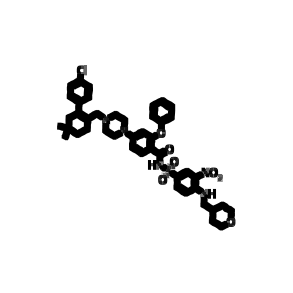 CC1(C)CCC(CN2CCN(c3ccc(C(=O)NS(=O)(=O)c4ccc(NCC5CCOCC5)c([N+](=O)[O-])c4)c(Oc4ccccc4)c3)CC2)=C(c2ccc(Cl)cc2)C1